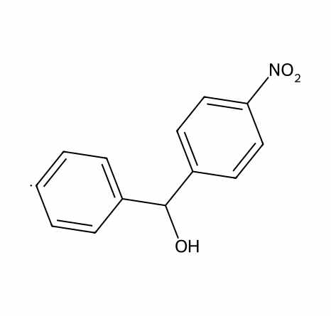 O=[N+]([O-])c1ccc(C(O)c2cc[c]cc2)cc1